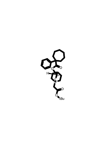 CC(C)(C)OC(=O)C[N+]12CCC(CC1)[C@@H](OC(=O)C1(c3ccccc3)CCCCCC1)C2